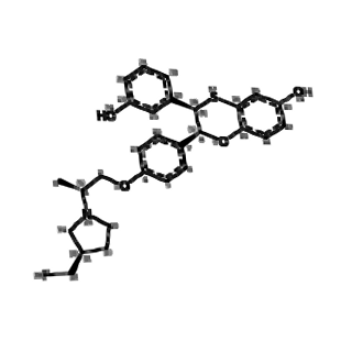 C[C@@H](COc1ccc([C@@H]2Oc3ccc(O)cc3S[C@@H]2c2cccc(O)c2)cc1)N1CC[C@@H](CF)C1